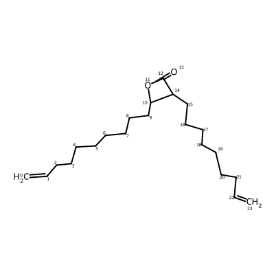 C=CCCCCCCCCC1OC(=O)C1CCCCCCCC=C